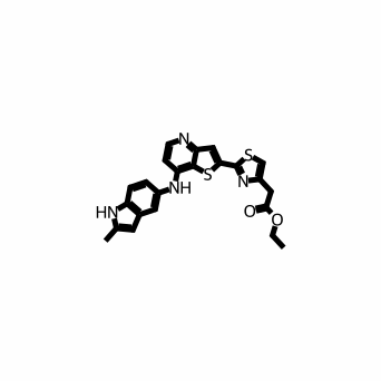 CCOC(=O)Cc1csc(-c2cc3nccc(Nc4ccc5[nH]c(C)cc5c4)c3s2)n1